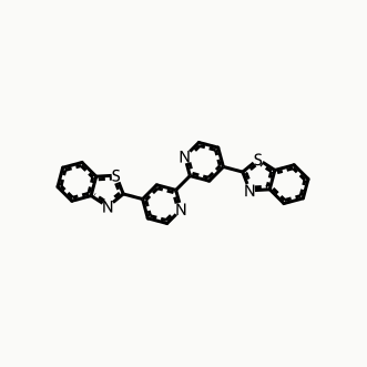 c1ccc2sc(-c3ccnc(-c4cc(-c5nc6ccccc6s5)ccn4)c3)nc2c1